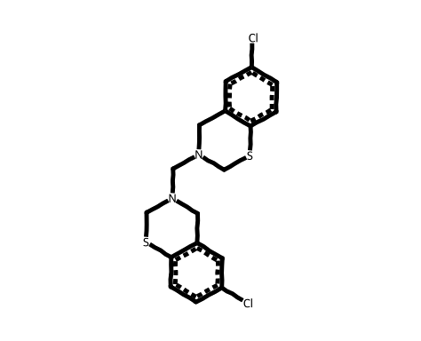 Clc1ccc2c(c1)CN(CN1CSc3ccc(Cl)cc3C1)CS2